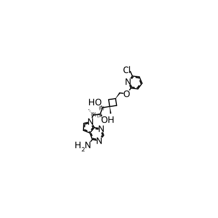 C[C@H]([C@H](O)[C@H](O)[C@]1(C)C[C@@H](COc2cccc(Cl)n2)C1)n1ccc2c(N)ncnc21